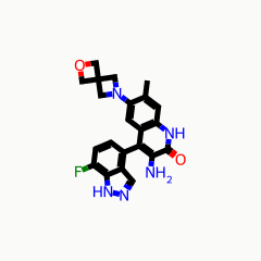 Cc1cc2[nH]c(=O)c(N)c(-c3ccc(F)c4[nH]ncc34)c2cc1N1CC2(COC2)C1